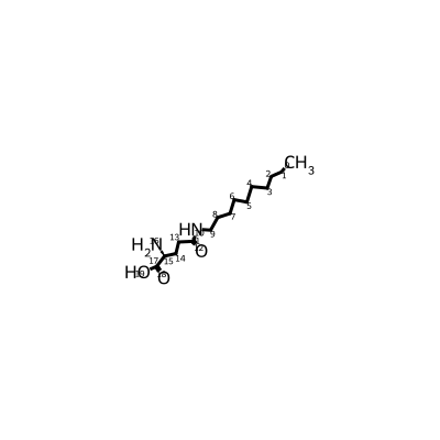 CCCCCCCCCCNC(=O)CC[C@H](N)C(=O)O